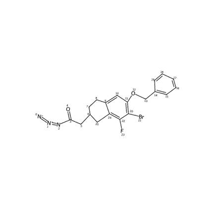 [N-]=[N+]=NC(=O)CC1CCc2cc(OCc3ccccc3)c(Br)c(F)c2C1